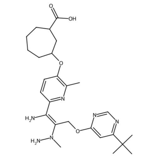 Cc1nc(/C(N)=C(\COc2cc(C(C)(C)C)ncn2)N(C)N)ccc1OC1CCCCC(C(=O)O)C1